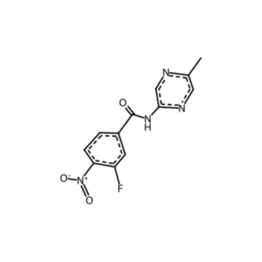 Cc1cnc(NC(=O)c2ccc([N+](=O)[O-])c(F)c2)cn1